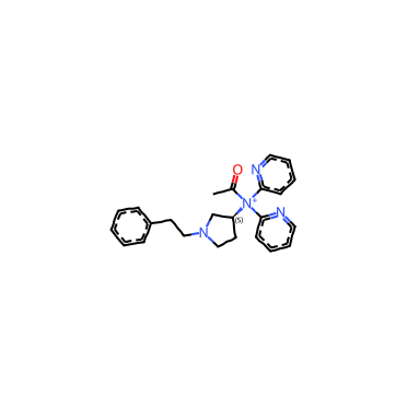 CC(=O)[N+](c1ccccn1)(c1ccccn1)[C@H]1CCN(CCc2ccccc2)C1